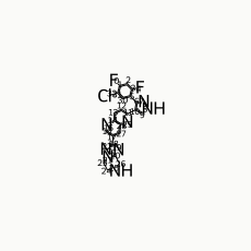 Fc1cc(F)c(-c2n[nH]cc2-c2ccc3ncc(-c4nc5n(n4)CCNC5)cc3n2)cc1Cl